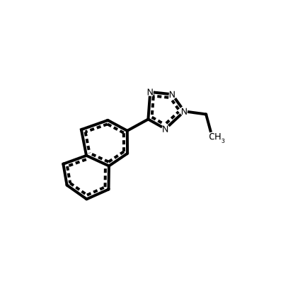 CCn1nnc(-c2ccc3ccccc3c2)n1